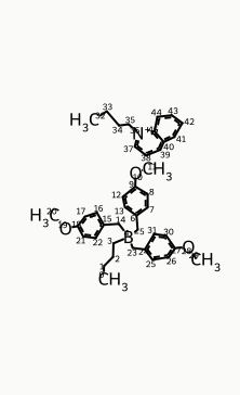 CCCC[B-](Cc1ccc(OC)cc1)(Cc1ccc(OC)cc1)Cc1ccc(OC)cc1.CCCC[n+]1cccc2ccccc21